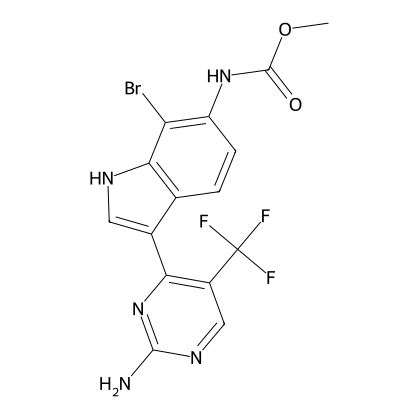 COC(=O)Nc1ccc2c(-c3nc(N)ncc3C(F)(F)F)c[nH]c2c1Br